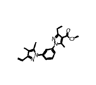 CCc1nn(-c2cccc(-n3nc(CC)c(C(=O)OC)c3C)c2)c(C)c1C